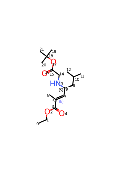 CCOC(=O)/C(C)=C/[C@H](CC(C)C)NCC(=O)OC(C)(C)C